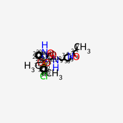 CCCC(=O)N1CCC(CCNC(=O)C[C@@H]2C(=O)Nc3ccccc3N2S(=O)(=O)c2cc(C)c(Cl)cc2C)CC1